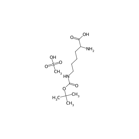 CC(C)(C)OC(=O)NCCCCC(N)C(=O)O.CS(=O)(=O)O